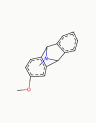 COc1ccc2c(c1)C1c3ccccc3C2N1C